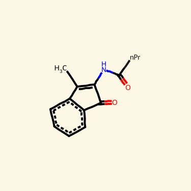 CCCC(=O)NC1=C(C)c2ccccc2C1=O